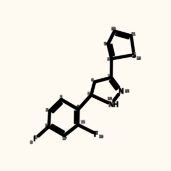 Fc1ccc(C2CC(c3cccs3)=NN2)c(F)c1